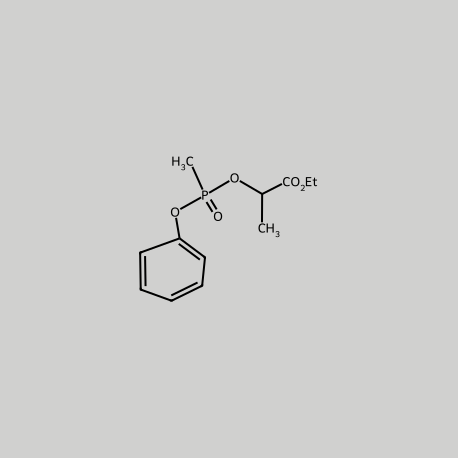 CCOC(=O)C(C)OP(C)(=O)Oc1ccccc1